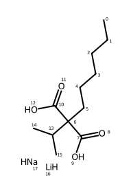 CCCCCCC(C(=O)O)(C(=O)O)C(C)C.[LiH].[NaH]